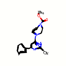 CC(C)(C)OC(=O)N1CCN(c2cc(-c3ccccc3)nc(C#N)n2)CC1